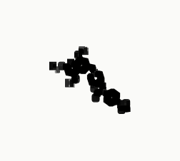 CCOc1cc(C)nc2c(OCC)cc(CN3CCC4(CC3)CN(c3ccc(N5OCO5)cc3)C(=O)O4)cc12